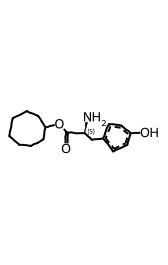 N[C@@H](Cc1ccc(O)cc1)C(=O)OC1CCCCCCC1